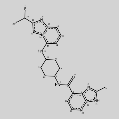 Cc1nc2c(C(=O)NC3CCC(Nc4cccc5nc(C(F)F)cn45)CC3)ccnc2[nH]1